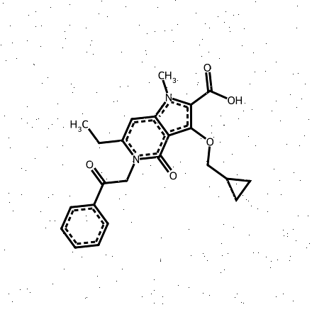 CCc1cc2c(c(OCC3CC3)c(C(=O)O)n2C)c(=O)n1CC(=O)c1ccccc1